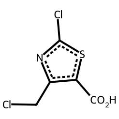 O=C(O)c1sc(Cl)nc1CCl